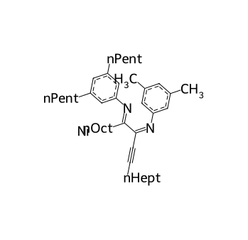 CCCCCCCC#CC(=Nc1cc(C)cc(C)c1)C(CCCCCCCC)=Nc1cc(CCCCC)cc(CCCCC)c1.[Ni]